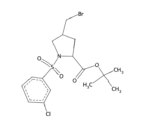 CC(C)(C)OC(=O)C1CC(CBr)CN1S(=O)(=O)c1cccc(Cl)c1